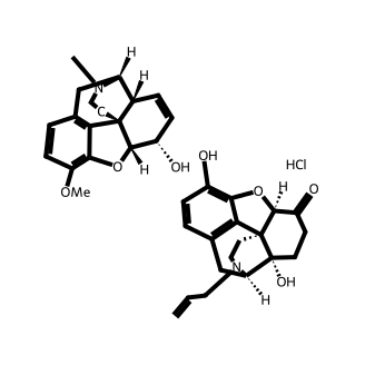 C=CCN1CC[C@]23c4c5ccc(O)c4O[C@H]2C(=O)CC[C@@]3(O)[C@H]1C5.COc1ccc2c3c1O[C@H]1[C@@H](O)C=C[C@H]4[C@@H](C2)N(C)CC[C@@]341.Cl